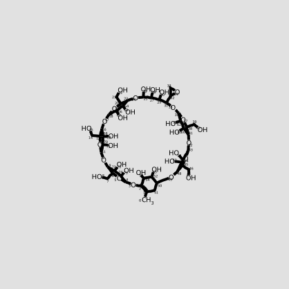 CC1=C2OC3CC(CO)C(OC4OC(CO)C(OC5OC(CO)C(OC(O)C(O)C(O)C(C6CO6)OC6OC(CO)C(OC7OC(CO)C(OC(C1)C(O)C2O)C(O)C7O)C(O)C6O)C(O)C5O)C(O)C4O)C(O)C3O